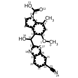 COc1cc(C)c2c(ccn2C(=O)O)c1C(O)c1nc2ccc(C#N)cc2s1